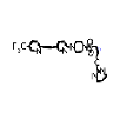 O=S(=O)(/C=C\CCCc1ncccn1)N1CCN(c2ccc(C#Cc3ccc(C(F)(F)F)cn3)cn2)CC1